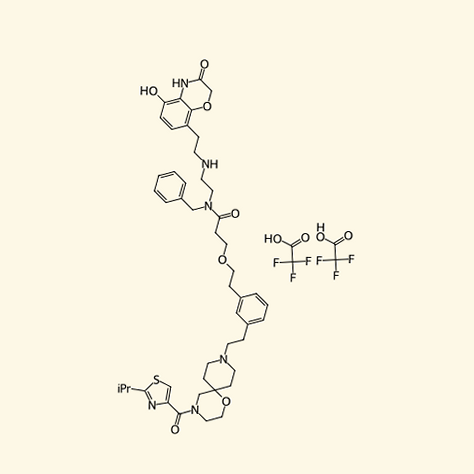 CC(C)c1nc(C(=O)N2CCOC3(CCN(CCc4cccc(CCOCCC(=O)N(CCNCCc5ccc(O)c6c5OCC(=O)N6)Cc5ccccc5)c4)CC3)C2)cs1.O=C(O)C(F)(F)F.O=C(O)C(F)(F)F